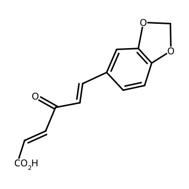 O=C(O)/C=C/C(=O)/C=C/c1ccc2c(c1)OCO2